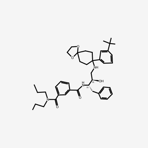 CCCN(CCC)C(=O)c1cccc(C(=O)N[C@@H](Cc2ccccc2)[C@H](O)CNC2(c3cccc(C(C)(C)C)c3)CCC3(CC2)OCCO3)c1